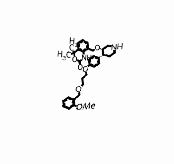 COc1ccccc1COCCCOc1ccc([C@H]2CCNC[C@@H]2OCc2cccc3c2NC(=O)OC3(C)C)cc1